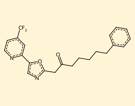 O=C(CCCCCc1ccccc1)Cc1ncc(-c2cc(C(F)(F)F)ccn2)o1